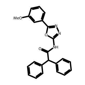 COc1cccc(-c2nnc(NC(=O)C(c3ccccc3)c3ccccc3)o2)c1